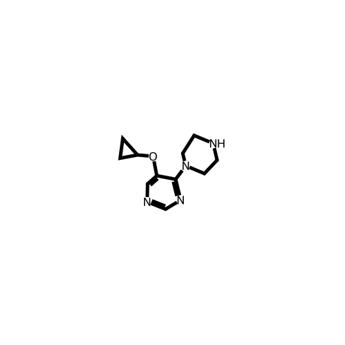 c1ncc(OC2CC2)c(N2CCNCC2)n1